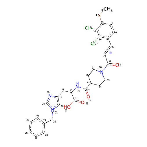 CSc1ccc(/C=C/C(=O)N2CCC(C(=O)NC(Cc3cn(Cc4ccccc4)cn3)C(=O)O)CC2)c(Cl)c1Cl